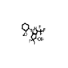 CO[C@H]1CCCC[C@H]1n1nc(C(F)(F)F)c2c1CC(F)(F)[C@H]2O